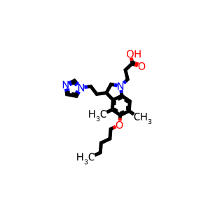 CCCCCOc1c(C)cc2c(c1C)C(CCn1ccnc1)CN2CCC(=O)O